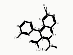 C=C(O)c1c(N(C)C)nc2ccc(Cl)cc2c1-c1cccc(C(C)C)c1